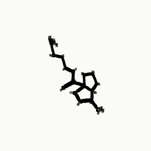 CC1=NOC2(C(=O)OCCON)CCCC12